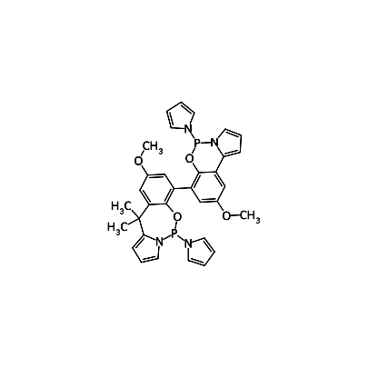 COc1cc(-c2cc(OC)cc3c2OP(n2cccc2)n2cccc2C3(C)C)c2c(c1)-c1cccn1P(n1cccc1)O2